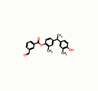 Cc1cc(C(C)c2ccc(OC(=O)c3cccc(C=O)c3)c(C)c2)ccc1O